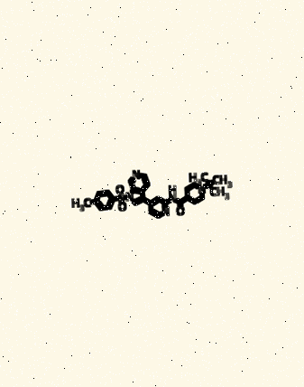 Cc1ccc(S(=O)(=O)n2cc(-c3ccnc(NC(=O)C4CCN(C(C)(C)C)CC4)c3)c3ccncc32)cc1